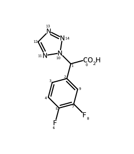 O=C(O)C(c1ccc(F)c(F)c1)n1ncnn1